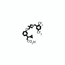 CC1(COc2cccc(C(CC(=O)O)C3CC3)c2)CN(Cc2cc(C(F)(F)F)ccc2C(F)(F)F)C1